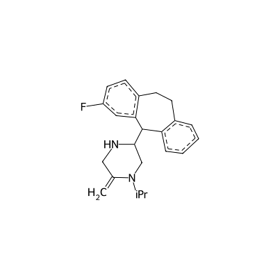 C=C1CNC(C2c3ccccc3CCc3ccc(F)cc32)CN1C(C)C